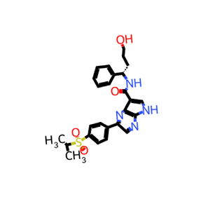 CC(C)S(=O)(=O)c1ccc(-c2cnc3[nH]cc(C(=O)N[C@@H](CCCO)c4ccccc4)c3n2)cc1